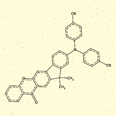 CC1(C)c2cc(N(c3ccc(C#N)cc3)c3ccc(C#N)cc3)ccc2-c2cc3oc4ccccc4c(=O)c3cc21